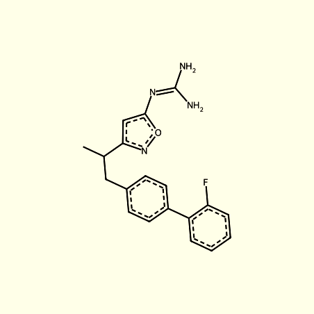 CC(Cc1ccc(-c2ccccc2F)cc1)c1cc(N=C(N)N)on1